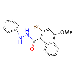 COc1cc(Br)c(C(=O)NNc2ccccc2)c2ccccc12